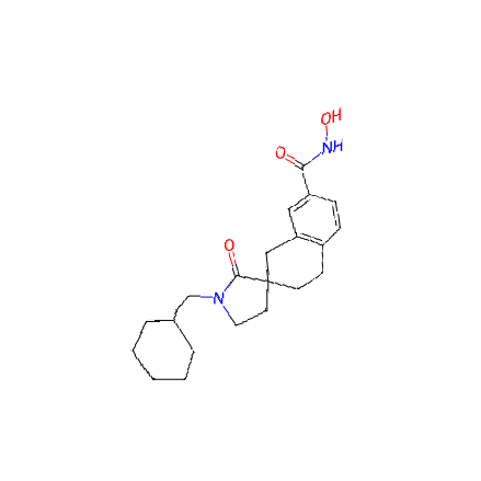 O=C(NO)c1ccc2c(c1)CC1(CC2)CCN(CC2CCCCC2)C1=O